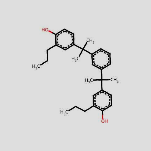 CCCc1cc(C(C)(C)c2cccc(C(C)(C)c3ccc(O)c(CCC)c3)c2)ccc1O